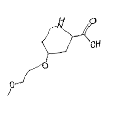 COCCOC1CCNC(C(=O)O)C1